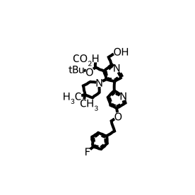 CC1(C)CCN(c2c(-c3ccc(OCCc4ccc(F)cc4)cn3)cnc(CO)c2C(OC(C)(C)C)C(=O)O)CC1